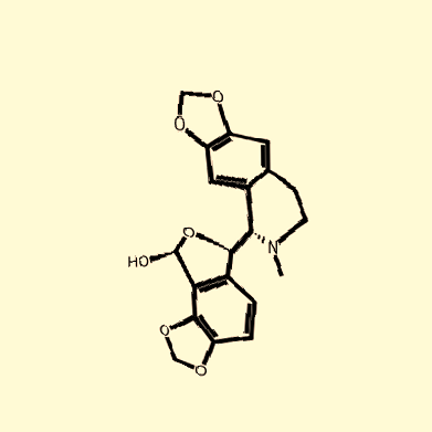 CN1CCc2cc3c(cc2[C@H]1[C@@H]1O[C@H](O)c2c1ccc1c2OCO1)OCO3